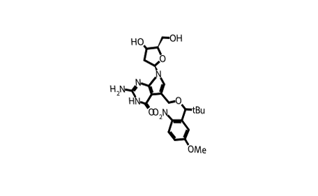 COc1ccc([N+](=O)[O-])c(C(OCc2cn([C@H]3CC(O)[C@@H](CO)O3)c3nc(N)[nH]c(=O)c23)C(C)(C)C)c1